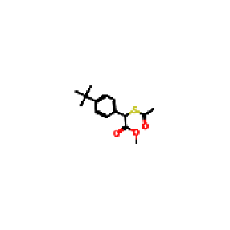 COC(=O)C(SC(C)=O)c1ccc(C(C)(C)C)cc1